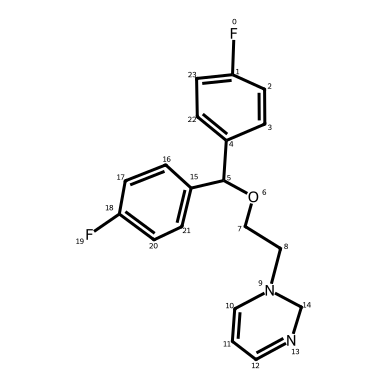 Fc1ccc(C(OCCN2C=CC=NC2)c2ccc(F)cc2)cc1